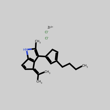 CCCCC1=CCC(c2c(C)[nH]c3c2C(=C(C)C)C=C3)=C1.[Cl-].[Cl-].[Zr+2]